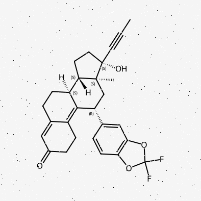 CC#C[C@]1(O)CC[C@H]2[C@@H]3CCC4=CC(=O)CCC4=C3[C@@H](c3ccc4c(c3)OC(F)(F)O4)C[C@@]21C